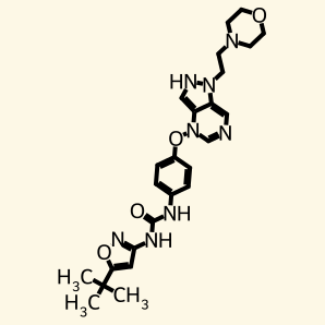 CC(C)(C)c1cc(NC(=O)Nc2ccc(ON3C=NC=C4C3=CNN4CCN3CCOCC3)cc2)no1